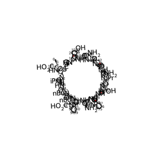 C#CC[C@H](NC(=O)CC1CSCC(=O)N[C@@H](Cc2ccc(O)cc2)C(=O)N(C)[C@@H](C)C(=O)N[C@@H](CC(N)=O)C(=O)N2CCC[C@H]2C(=O)N[C@@H](CN)C(=O)N[C@@H](CC(C)C)C(=O)N2C[C@H](O)C[C@H]2C(=O)N[C@@H](Cc2c[nH]c3ccccc23)C(=O)N[C@@H](CCN)C(=O)N[C@@H](Cc2cn(CC(=O)O)c3ccccc23)C(=O)N(C)[C@@H](CCCC)C(=O)N(C)[C@@H](CCCC)C(=O)N[C@@H](CC(C)C)C(=O)N1)C(=O)O